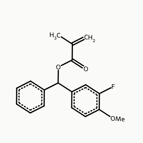 C=C(C)C(=O)OC(c1ccccc1)c1ccc(OC)c(F)c1